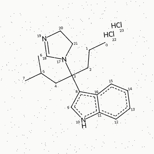 CCCC(CC(C)C)(c1c[nH]c2ccccc12)N1C=NCC1.Cl.Cl